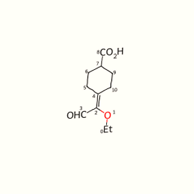 CCOC(C=O)=C1CCC(C(=O)O)CC1